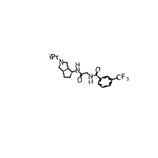 CC(C)N1CC2CCC(NC(=O)CNC(=O)c3cccc(C(F)(F)F)c3)C2C1